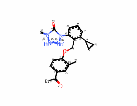 CCC(=O)c1ccc(OCc2c(C3CC3)cccc2N2NNN(C)C2=O)c(C)c1